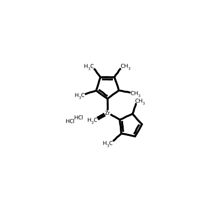 Cl.Cl.[CH2]=[Zr]([C]1=C(C)C=CC1C)[C]1=C(C)C(C)=C(C)C1C